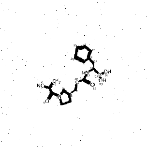 C=C(C#N)C(=O)N1CC[C@H](COC(=O)N[C@@H](Cc2ccccc2)B(O)O)C1